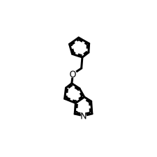 c1ccc(COc2ccc3cnccc3c2)cc1